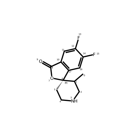 CC1CNCC[C@@]12OC(=O)c1cc(F)c(F)cc12